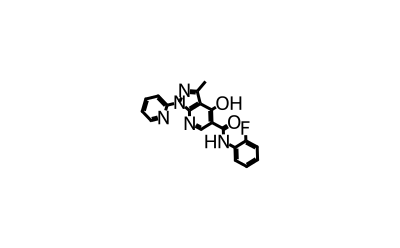 Cc1nn(-c2ccccn2)c2ncc(C(=O)Nc3ccccc3F)c(O)c12